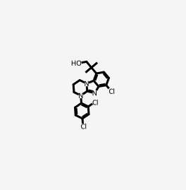 CC(C)(CO)c1ccc(Cl)c2nc3n(c12)CCCN3c1ccc(Cl)cc1Cl